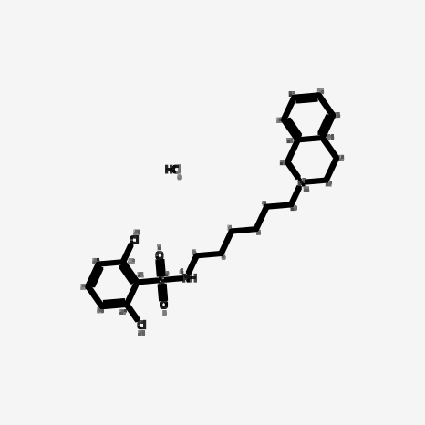 Cl.O=S(=O)(NCCCCCCN1CCc2ccccc2C1)c1c(Cl)cccc1Cl